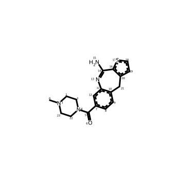 CN1CCN(C(=O)c2ccc3c(c2)N=C(N)c2sccc2C3)CC1